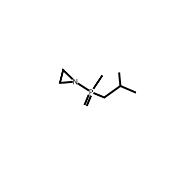 C=P(C)(CC(C)C)N1CC1